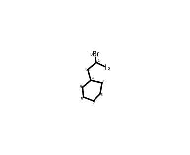 BrC(I)CC1CCCCC1